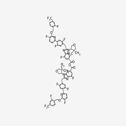 CC1(C)COCC1n1c(Cc2cc(F)c(-c3ccc(F)c(OCc4ccc(C(F)(F)F)cc4F)n3)cc2F)nc2c(F)cc(C(=O)OC(=O)c3cc(F)c4nc(Cc5cc(F)c(-c6ccc(F)c(OCc7ccc(C(F)(F)F)cc7F)n6)cc5F)n(C5COCC5(C)C)c4c3)cc21